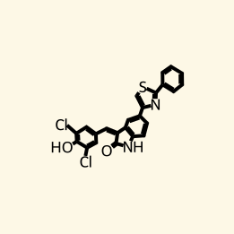 O=C1Nc2ccc(-c3csc(-c4ccccc4)n3)cc2/C1=C/c1cc(Cl)c(O)c(Cl)c1